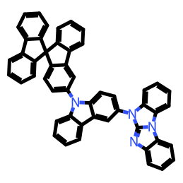 c1ccc2c(c1)-c1ccccc1C21c2ccccc2-c2cc(-n3c4ccccc4c4cc(-n5c6ccccc6n6c7ccccc7nc56)ccc43)ccc21